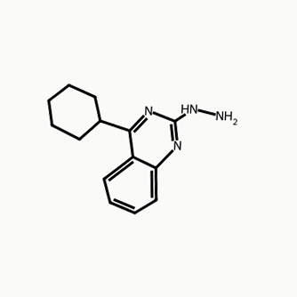 NNc1nc(C2CCCCC2)c2ccccc2n1